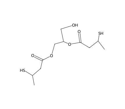 CC(S)CC(=O)OCC(CO)OC(=O)CC(C)S